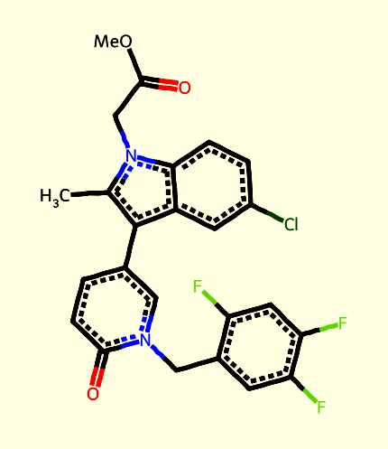 COC(=O)Cn1c(C)c(-c2ccc(=O)n(Cc3cc(F)c(F)cc3F)c2)c2cc(Cl)ccc21